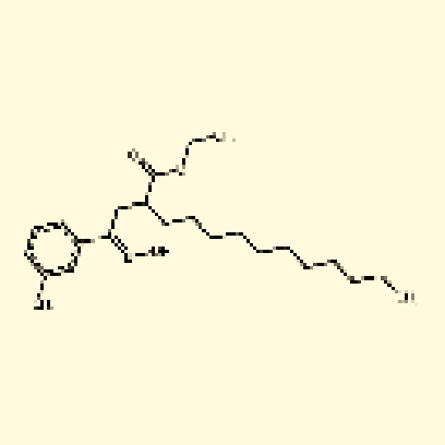 CCCCCCCCCCCC(CC(=NO)c1cccc(C)c1)C(=O)OCC